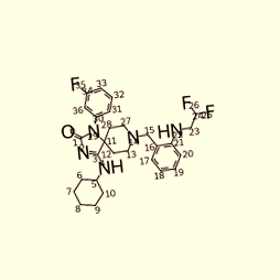 O=C1N=C(NC2CCCCC2)C2(CCN(Cc3ccccc3NCC(F)F)CC2)N1c1cccc(F)c1